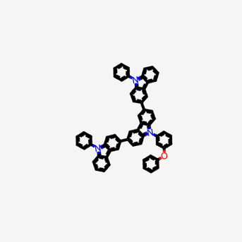 c1ccc(Oc2cccc(-n3c4ccc(-c5ccc6c(c5)c5ccccc5n6-c5ccccc5)cc4c4cc(-c5ccc6c(c5)c5ccccc5n6-c5ccccc5)ccc43)c2)cc1